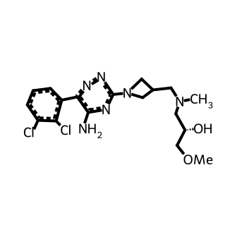 COC[C@@H](O)CN(C)CC1CN(c2nnc(-c3cccc(Cl)c3Cl)c(N)n2)C1